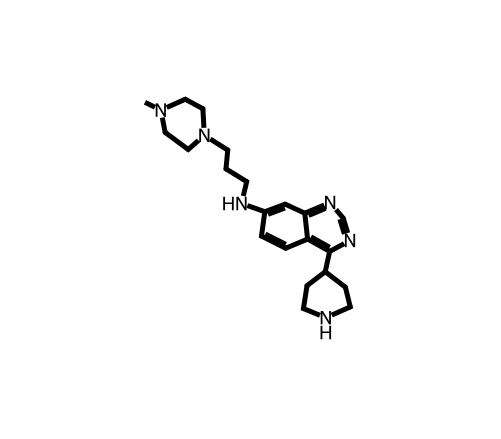 CN1CCN(CCCNc2ccc3c(C4CCNCC4)ncnc3c2)CC1